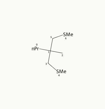 CCCC(C)(CSC)CSC